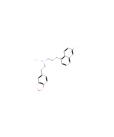 CN(CCCc1cccc2cc(O)ccc12)CCc1ccc2c(c1)OCO2